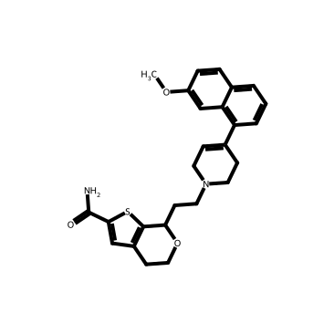 COc1ccc2cccc(C3=CCN(CCC4OCCc5cc(C(N)=O)sc54)CC3)c2c1